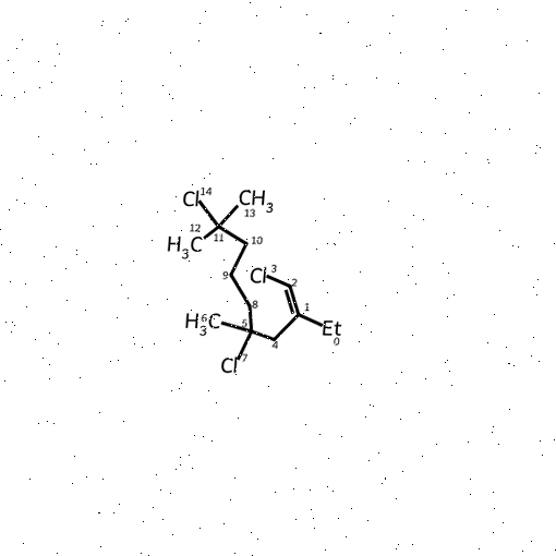 CCC(=CCl)CC(C)(Cl)CCCC(C)(C)Cl